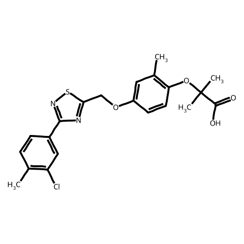 Cc1ccc(-c2nsc(COc3ccc(OC(C)(C)C(=O)O)c(C)c3)n2)cc1Cl